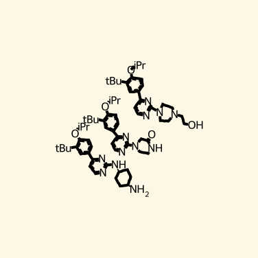 CC(C)Oc1ccc(-c2ccnc(N3CCN(CCO)CC3)n2)cc1C(C)(C)C.CC(C)Oc1ccc(-c2ccnc(N3CCNC(=O)C3)n2)cc1C(C)(C)C.CC(C)Oc1ccc(-c2ccnc(N[C@H]3CC[C@@H](N)CC3)n2)cc1C(C)(C)C